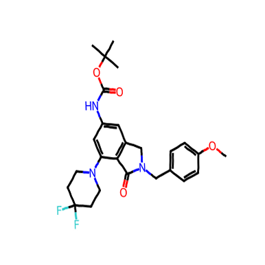 COc1ccc(CN2Cc3cc(NC(=O)OC(C)(C)C)cc(N4CCC(F)(F)CC4)c3C2=O)cc1